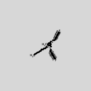 CCCCCCCCCCCCOc1c(C)cc(CSCCC(F)(F)C(F)(F)C(F)(F)C(F)(F)C(F)(F)C(F)(F)F)cc1CSCCC(F)(F)C(F)(F)C(F)(F)C(F)(F)C(F)(F)C(F)(F)F